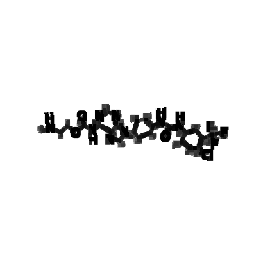 CNCCOC(=O)Nc1ncnc2c1ncn2-c1ccc(NC(=O)Nc2ccc(Cl)c(C(F)(F)F)c2)cc1